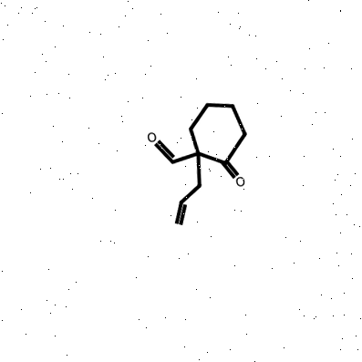 C=CCC1(C=O)CCCCC1=O